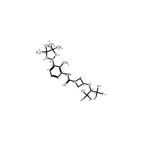 Cc1c(NC(=O)N2CC(OC(C(F)(F)F)C(F)(F)F)C2)cccc1B1OC(C)(C)C(C)(C)O1